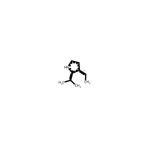 C/C=c1/cc[nH]c1=C(C)C